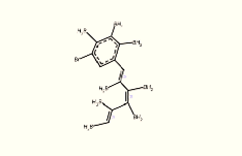 B/C=C(B)/C(B)=C(B)\C(B)=C\c1cc(Br)c(B)c(B)c1B